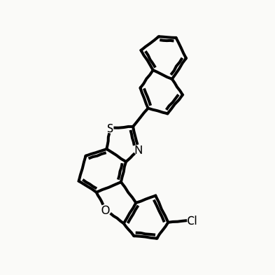 Clc1ccc2oc3ccc4sc(-c5ccc6ccccc6c5)nc4c3c2c1